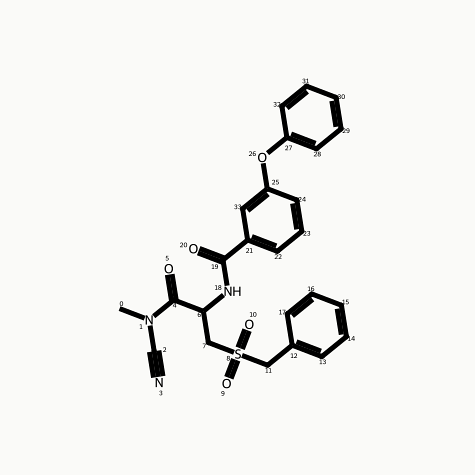 CN(C#N)C(=O)C(CS(=O)(=O)Cc1ccccc1)NC(=O)c1cccc(Oc2ccccc2)c1